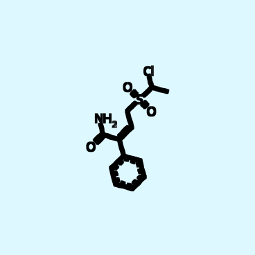 CC(Cl)S(=O)(=O)CC=C(C(N)=O)c1ccccc1